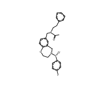 CC(=O)N(CCc1ccccc1)Cc1ccc2c(c1)CN([S+]([O-])c1ccc(F)cc1)CCO2